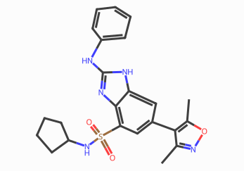 Cc1noc(C)c1-c1cc(S(=O)(=O)NC2CCCC2)c2nc(Nc3ccccc3)[nH]c2c1